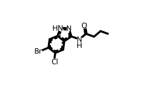 CCCC(=O)Nc1n[nH]c2cc(Br)c(Cl)cc12